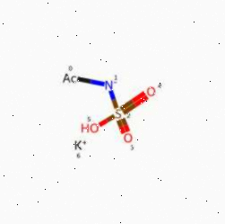 CC(=O)[N-]S(=O)(=O)O.[K+]